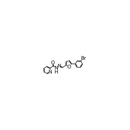 O=C(N/N=C/c1ccc(-c2cccc(Br)c2)o1)c1ccccn1